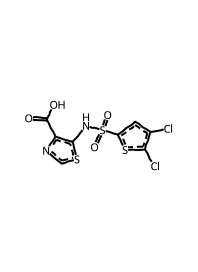 O=C(O)c1ncsc1NS(=O)(=O)c1cc(Cl)c(Cl)s1